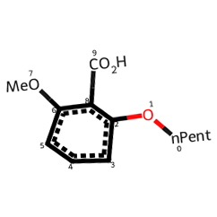 CCCCCOc1cccc(OC)c1C(=O)O